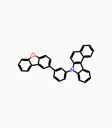 c1cc(-c2ccc3oc4ccccc4c3c2)cc(-n2c3ccccc3c3c4ccccc4ccc32)c1